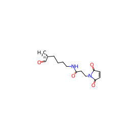 C[C@H](C=O)CCCCNC(=O)CCN1C(=O)C=CC1=O